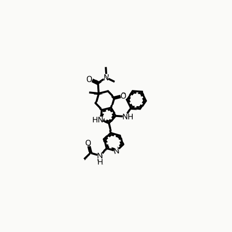 CC(=O)Nc1cc(-c2[nH]c3c(c2Nc2ccccc2)C(=O)CC(C)(C(=O)N(C)C)C3)ccn1